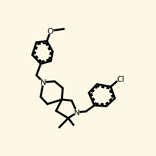 COc1ccc(CN2CCC3(CC2)CN(Cc2ccc(Cl)cc2)C(C)(C)C3)cc1